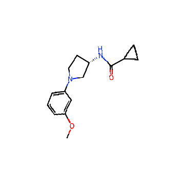 COc1cccc(N2CC[C@H](NC(=O)C3CC3)C2)c1